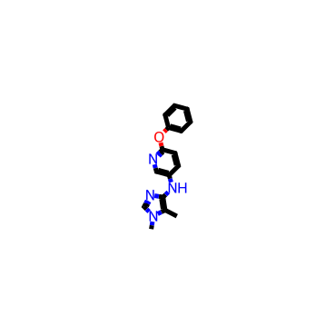 Cc1c(Nc2ccc(Oc3ccccc3)nc2)ncn1C